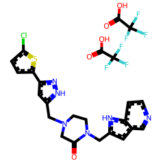 O=C(O)C(F)(F)F.O=C(O)C(F)(F)F.O=C1CN(Cc2cc(-c3ccc(Cl)s3)n[nH]2)CCN1Cc1cc2cnccc2[nH]1